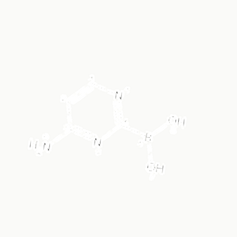 Nc1ccnc(B(O)O)n1